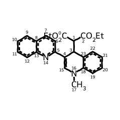 CCOC(=O)C(C(=O)OCC)C1C(c2ccc3ccccc3n2)=CN(C)c2ccccc21